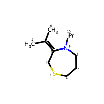 CC(C)=C1CSCCCN1C(C)C